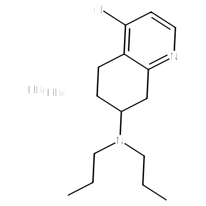 Br.Br.CCCN(CCC)C1CCc2c(Cl)ccnc2C1